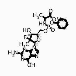 COC(=O)C(C)NP(=O)(OC[C@H]1O[C@@H](n2cnc3c(O)nc(N)nc32)[C@](C)(F)[C@@H]1O)Oc1ccccc1